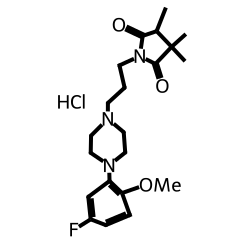 COc1ccc(F)cc1N1CCN(CCCN2C(=O)C(C)C(C)(C)C2=O)CC1.Cl